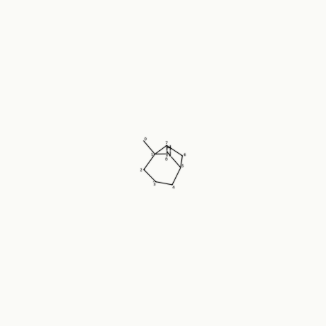 CC12C[CH]CC(CC1)N2